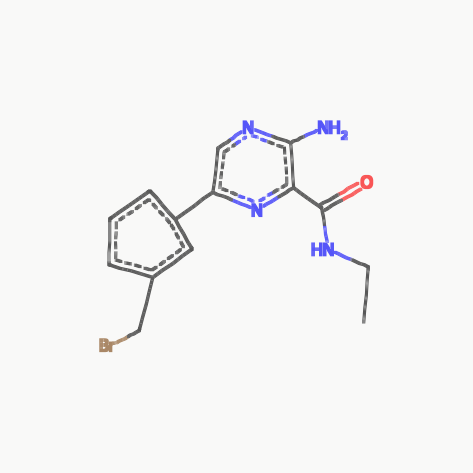 CCNC(=O)c1nc(-c2cccc(CBr)c2)cnc1N